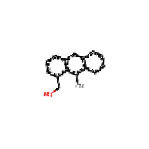 N#Cc1c2ccccc2cc2cccc(CO)c12